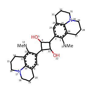 CNc1c(C2C(O)C(c3cc4c5c(c3NC)CCCN5CCC4)C2O)cc2c3c1CCCN3CCC2